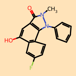 Cn1c(=O)c2cc(O)c3cc(F)ccc3c2n1-c1ccccc1